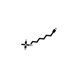 CS(=O)(=O)NCCCCCCC#N